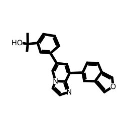 CC(C)(O)c1cccc(-c2cc(-c3ccc4cocc4c3)c3nccn3c2)c1